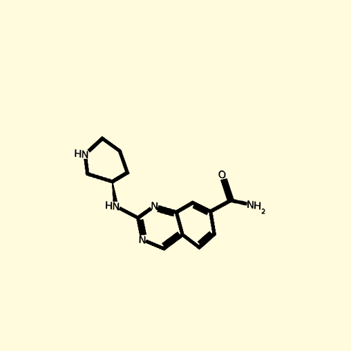 NC(=O)c1ccc2cnc(N[C@@H]3CCCNC3)nc2c1